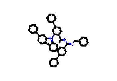 C/C(=N\C(=N/Cc1ccccc1)c1ccc(-c2ccccc2)cc1)c1ccc(-c2ccccc2)cc1-n1c2ccccc2c2ccc(-c3ccccc3)cc21